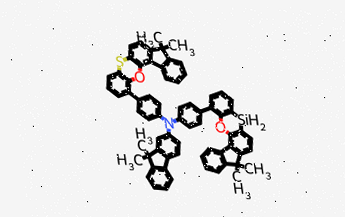 CC1(C)c2ccccc2-c2ccc(N(c3ccc(-c4cccc5c4Oc4c(ccc6c4-c4ccccc4C6(C)C)[SiH2]5)cc3)c3ccc(-c4cccc5c4Oc4c(ccc6c4-c4ccccc4C6(C)C)S5)cc3)cc21